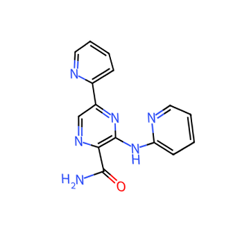 NC(=O)c1ncc(-c2ccccn2)nc1Nc1ccccn1